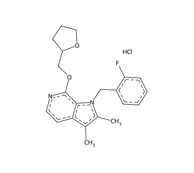 Cc1c(C)n(Cc2ccccc2F)c2c(OCC3CCCO3)nccc12.Cl